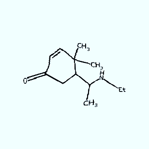 CCNC(C)C1CC(=O)C=CC1(C)C